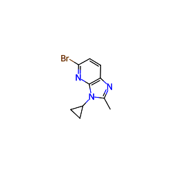 Cc1nc2ccc(Br)nc2n1C1CC1